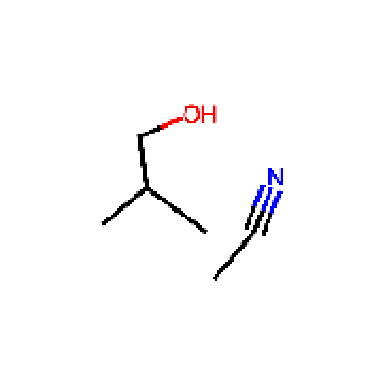 CC#N.CC(C)CO